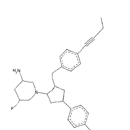 CCC#Cc1ccc(CC2CC(c3ccc(F)cc3)CC2N2CC(N)CC(F)C2)cc1